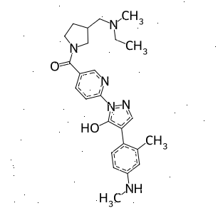 CCN(C)CC1CCN(C(=O)c2ccc(-n3ncc(-c4ccc(NC)cc4C)c3O)nc2)C1